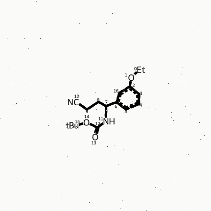 CCOc1cccc(C(CCC#N)NC(=O)OC(C)(C)C)c1